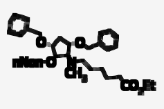 CCCCCCCCCO[C@H]1[C@H](N(C)CCCCCC(=O)OCC)[C@@H](OCc2ccccc2)C[C@H]1OCc1ccccc1